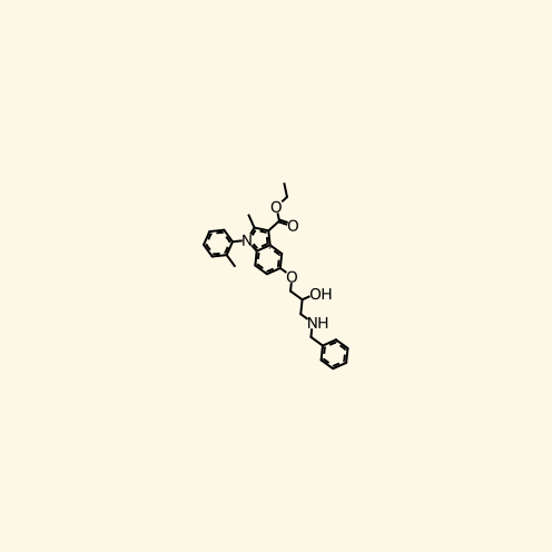 CCOC(=O)c1c(C)n(-c2ccccc2C)c2ccc(OCC(O)CNCc3ccccc3)cc12